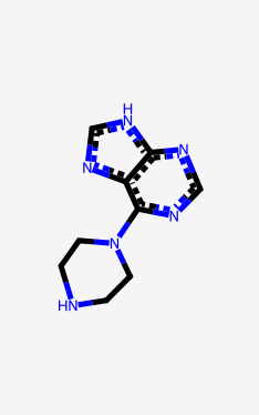 c1nc(N2CCNCC2)c2nc[nH]c2n1